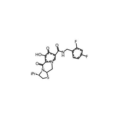 CC(C)[C@@H]1CSC2Cn3cc(C(=O)NCc4ccc(F)cc4F)c(=O)c(O)c3C(=O)N21